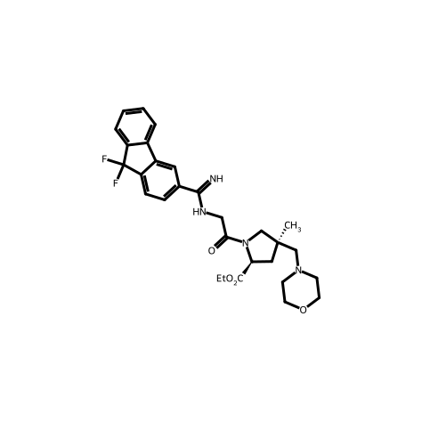 CCOC(=O)[C@@H]1C[C@](C)(CN2CCOCC2)CN1C(=O)CNC(=N)c1ccc2c(c1)-c1ccccc1C2(F)F